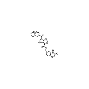 CCN(Cc1ccccc1)C(=O)c1c[nH]c2c(C(=O)NCc3ccc4c(c3)NC(=O)CO4)ncnc12